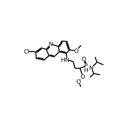 COOC(CCNc1c(OC)ccc2nc3cc(Cl)ccc3cc12)[PH](=O)N(C(C)C)C(C)C